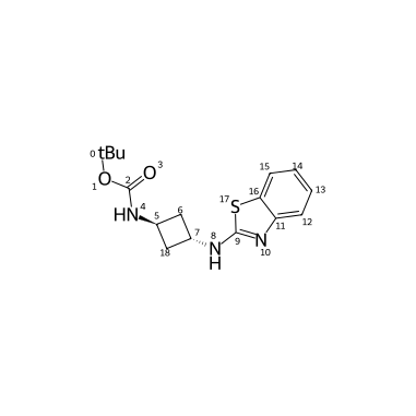 CC(C)(C)OC(=O)N[C@H]1C[C@H](Nc2nc3ccccc3s2)C1